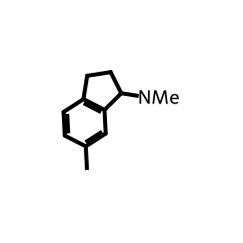 CNC1CCc2ccc(C)cc21